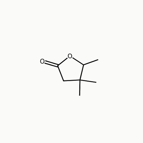 CC1OC(=O)CC1(C)C